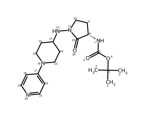 CC(C)(C)OC(=O)N[C@H]1CCN(NC2CCN(c3ccncc3)CC2)C1=O